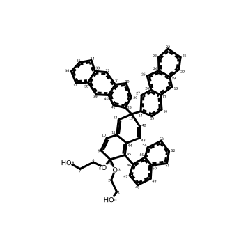 OCCOC1(OCCO)C=CC2=CC(c3ccc4cc5ccccc5cc4c3)(c3ccc4cc5ccccc5cc4c3)C=CC2=C1c1cccc2ccccc12